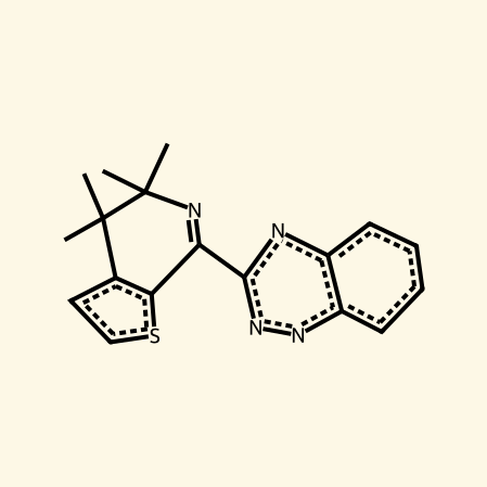 CC1(C)N=C(c2nnc3ccccc3n2)c2sccc2C1(C)C